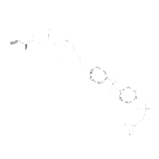 C=CC(=O)OCC(O)COC(C)(C)CC(O)COc1ccc(C(C)(C)c2ccc(OC(C)(C)CC3CO3)cc2)cc1